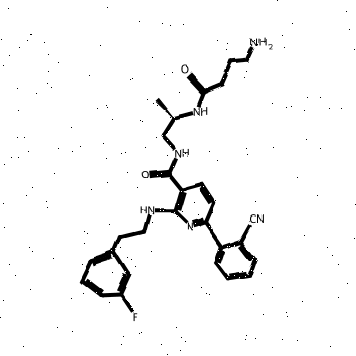 C[C@H](CNC(=O)c1ccc(-c2ccccc2C#N)nc1NCCc1cccc(F)c1)NC(=O)CCCN